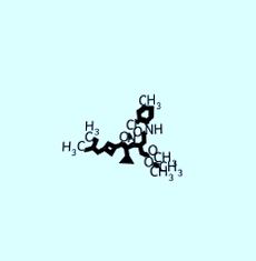 CCC(CC)CC1CC(c2onc(C(CC(=O)Nc3ccc(C)cc3Cl)CC(=O)OC(C)(C)C)c2C2CC2)C1